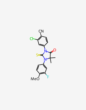 COc1ccc(N2C(=S)N(c3ccc(C#N)c(Cl)c3)C(=O)C2(C)C)cc1F